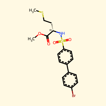 COC(=O)[C@H](CCSC)NS(=O)(=O)c1ccc(-c2ccc(Br)cc2)cc1